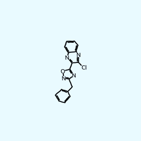 Clc1nc2ccccc2nc1-c1nc(Cc2ccccc2)no1